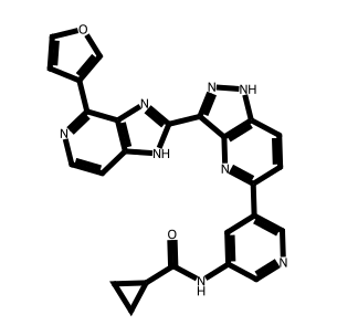 O=C(Nc1cncc(-c2ccc3[nH]nc(-c4nc5c(-c6ccoc6)nccc5[nH]4)c3n2)c1)C1CC1